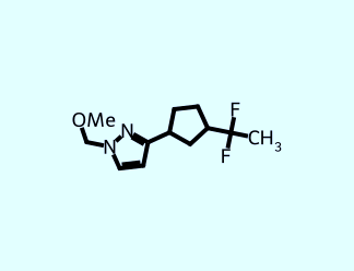 COCn1ccc(C2CCC(C(C)(F)F)C2)n1